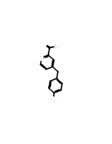 NC(=S)c1cc(Cc2ccc([N+](=O)[O-])cc2)ccn1